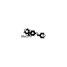 COC(=O)C1(c2ccc(OCC3CCOCC3)cc2)CCOCC1